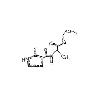 CCOC(=O)C(C)NC(=O)c1ccc[nH]c1=S